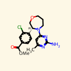 COC(=O)c1ccc([C@@H]2COCCCN2c2cc(C)nc(N)n2)c(Cl)c1